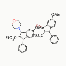 CCOC(=O)C1=C(c2ccccc2)c2ccc(OC)cc2C1Br.CCOC(=O)C1=C(c2ccccc2)c2ccc(OC)cc2C1N1CCOCC1